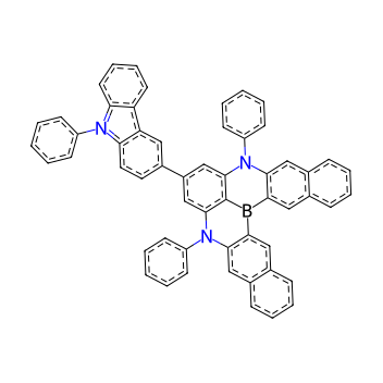 c1ccc(N2c3cc4ccccc4cc3B3c4cc5ccccc5cc4N(c4ccccc4)c4cc(-c5ccc6c(c5)c5ccccc5n6-c5ccccc5)cc2c43)cc1